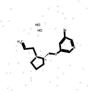 C=CCN1CCC[C@H]1COc1cncc(Br)c1.Cl.Cl